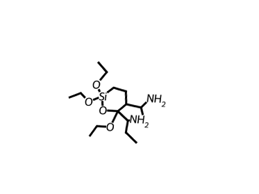 CCOC1(C(N)CC)O[Si](OCC)(OCC)CCC1C(C)N